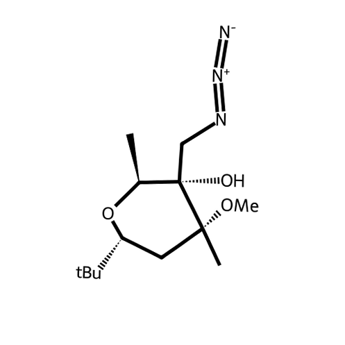 CO[C@]1(C)C[C@H](C(C)(C)C)O[C@@H](C)[C@@]1(O)CN=[N+]=[N-]